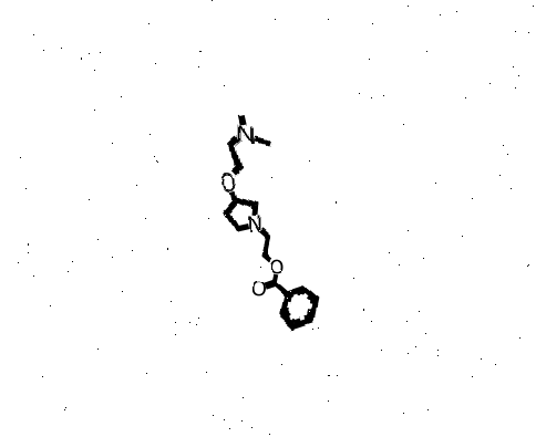 CN(C)CCOC1CCN(CCOC(=O)c2ccccc2)C1